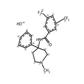 CN1CCC(NC(=O)c2cc(C(F)(F)F)cc(C(F)(F)F)c2)(c2ccccc2)CC1.Cl